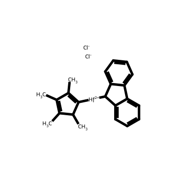 CC1=C(C)C(C)[C]([Hf+2][CH]2c3ccccc3-c3ccccc32)=C1C.[Cl-].[Cl-]